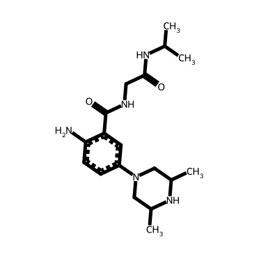 CC(C)NC(=O)CNC(=O)c1cc(N2CC(C)NC(C)C2)ccc1N